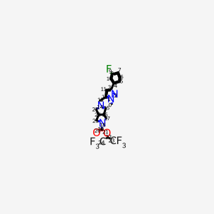 Cn1nc(-c2cccc(F)c2)cc1CN1CC2CN(C(=O)OC(C(F)(F)F)C(F)(F)F)CC2C1